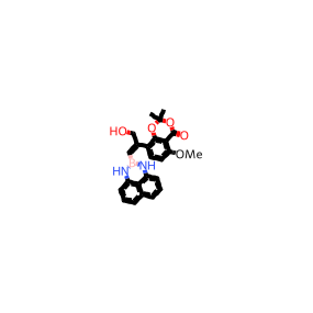 COc1ccc(/C(=C\B2Nc3cccc4cccc(c34)N2)CO)c2c1C(=O)OC(C)(C)O2